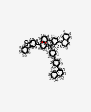 C1=Cc2ccccc2C(c2ccc(-c3ccccc3)c(N(c3ccc(-c4ccc(-c5cccc6ccccc56)cc4)cc3)c3ccc(-c4ccc5sc6ccccc6c5c4)cc3)c2)C1